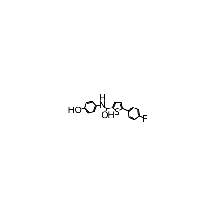 Oc1ccc(NC(O)c2ccc(-c3ccc(F)cc3)s2)cc1